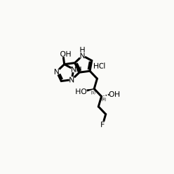 Cl.O[C@H](CCF)[C@@H](O)Cc1c[nH]c2c1N1C=NC2(O)N1